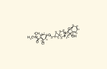 CN(C)C(=O)c1ccc(OCC2CC3(CCN(C(=O)[C@](O)(c4ccccc4)C(F)(F)F)CC3)C2)cc1Cl